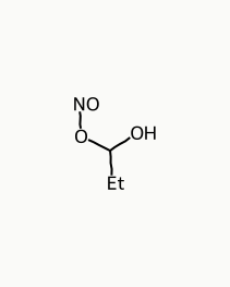 CCC(O)ON=O